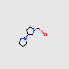 O=BCN1CC[C@H](N2CCCC2)C1